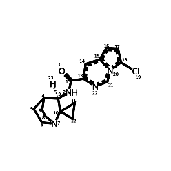 O=C(N[C@@H]1C2CCN(CC2)C12CC2)c1cc2ccc(Cl)n2cn1